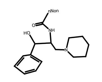 CCCCCCCCCC(=O)NC(CN1CCCCC1)C(O)c1ccccc1